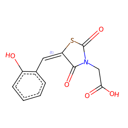 O=C(O)CN1C(=O)S/C(=C/c2ccccc2O)C1=O